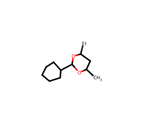 CCC1CC(C)OC(C2CCCCC2)O1